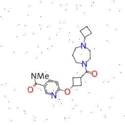 CNC(=O)c1ccc(OC2CC(C(=O)N3CCCN(C4CCC4)CC3)C2)nc1